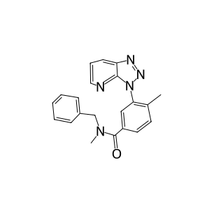 Cc1ccc(C(=O)N(C)Cc2ccccc2)cc1-n1nnc2cccnc21